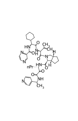 C=C(C)[C@H](NC(=O)[C@@H](NC(=O)c1cnccn1)C1CCCCC1)C(=O)N1C[C@@H]2CCC[C@@H]2[C@H]1C(=O)N[C@@H](CCC)C(=O)C(=O)N[C@@H](C)c1ccncc1